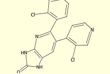 O=c1[nH]c2cc(-c3ccncc3Cl)c(-c3ccncc3Cl)nc2[nH]1